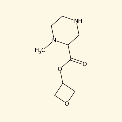 CN1CCNCC1C(=O)OC1COC1